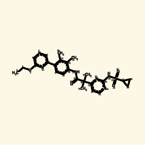 CCOc1cncc(-c2ccc(NC(=O)C(C)(C)c3ccnc(NS(=O)(=O)C4CC4)n3)c(C)c2C)n1